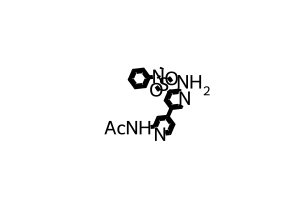 CC(=O)Nc1cc(-c2cnc(N)c(S(=O)(=O)N(C)c3ccccc3)c2)ccn1